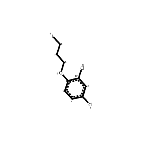 Clc1ccc(OCCCI)c(Cl)c1